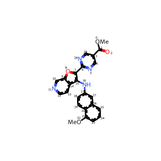 COC(=O)c1cnc(-c2oc3cnccc3c2Nc2ccc3c(OC)cccc3c2)nc1